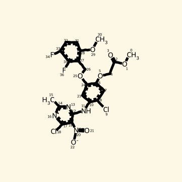 COC(=O)COc1cc(Cl)c(Nc2nc(C)nc(Cl)c2[N+](=O)[O-])cc1OCc1c(OC)ccc(F)c1F